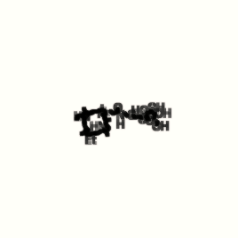 C=Cc1c(C)c2cc3nc(c(C)c4cc(C)c(cc5nc(cc1[nH]2)C(C)=C5CC)[nH]4)[C@@H](CCC(=O)NCCOCCO[C@@H]1O[C@H](CO)[C@@H](O)[C@H](O)[C@H]1O)[C@@H]3C